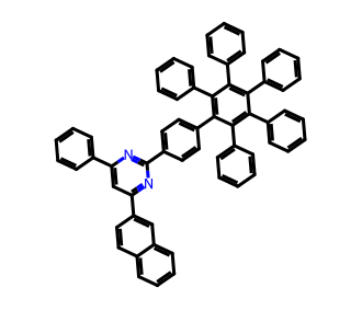 c1ccc(-c2cc(-c3ccc4ccccc4c3)nc(-c3ccc(-c4c(-c5ccccc5)c(-c5ccccc5)c(-c5ccccc5)c(-c5ccccc5)c4-c4ccccc4)cc3)n2)cc1